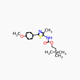 COc1ccc(-c2nc(C)c(NC(=O)OCC[Si](C)(C)C)s2)cc1